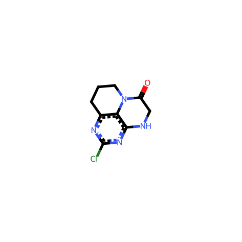 O=C1CNc2nc(Cl)nc3c2N1CCC3